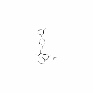 CC(=O)Oc1cc2c3c(c1)c(CCN1CCN(c4cc(C)ccn4)CC1)c(C)n3CCC2